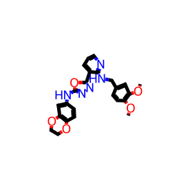 COc1ccc(CNc2ncccc2-c2nnc(Nc3ccc4c(c3)OCCO4)o2)cc1OC